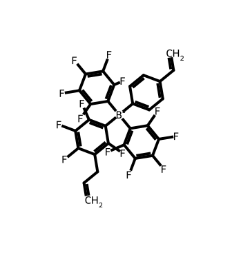 C=CCc1c(F)c(F)c(F)c([B-](c2ccc(C=C)cc2)(c2c(F)c(F)c(F)c(F)c2F)c2c(F)c(F)c(F)c(F)c2F)c1F